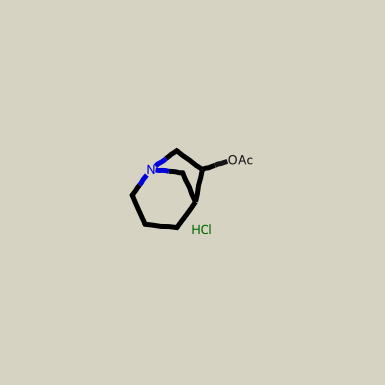 CC(=O)OC1CN2CCCC1C2.Cl